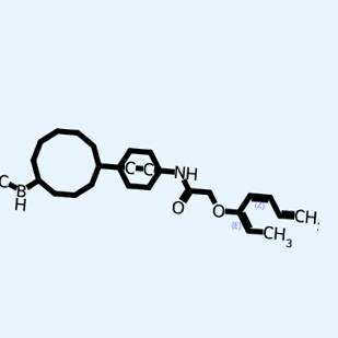 C=C/C=C\C(=C/C)OCC(=O)NC12CCC(C3CCCCCC(BC)CCC3)(CC1)CC2